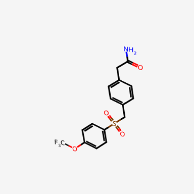 NC(=O)Cc1ccc(CS(=O)(=O)c2ccc(OC(F)(F)F)cc2)cc1